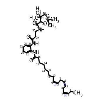 CC/C=C\C/C=C\C/C=C\CCCCCCCC(=O)Nc1ccccc1NC(=O)CCNC(=O)C1OC(C)(C)OCC1(C)C